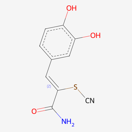 N#CS/C(=C\c1ccc(O)c(O)c1)C(N)=O